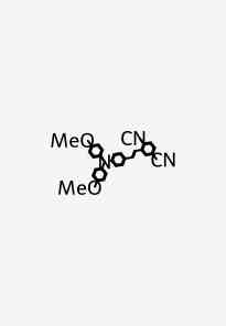 [C-]#[N+]c1ccc(C#N)cc1C=Cc1ccc(N(c2ccc(OC)cc2)c2ccc(OC)cc2)cc1